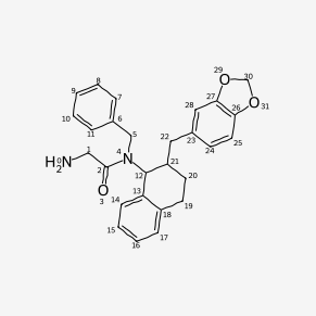 NCC(=O)N(Cc1ccccc1)C1c2ccccc2CCC1Cc1ccc2c(c1)OCO2